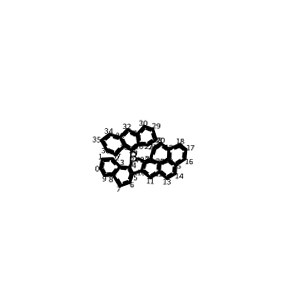 c1ccc2c3c(ccc2c1)-c1cc2ccc4cccc5ccc(c1B3c1c3ccccc3cc3ccccc13)c2c45